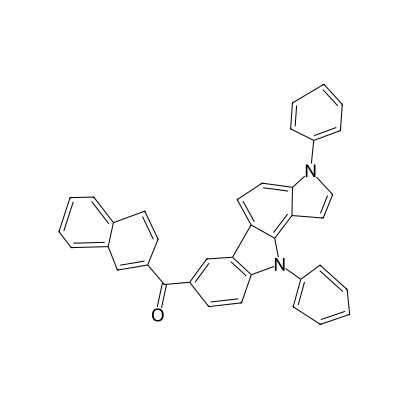 O=C(c1ccc2ccccc2c1)c1ccc2c(c1)c1ccc3c(ccn3-c3ccccc3)c1n2-c1ccccc1